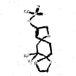 CC1(C)CC2(C=C(OS(=O)(=O)C(F)(F)F)CO2)CCC12OCCO2